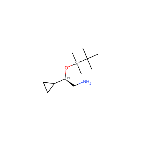 CC(C)(C)[Si](C)(C)O[C@@H](CN)C1CC1